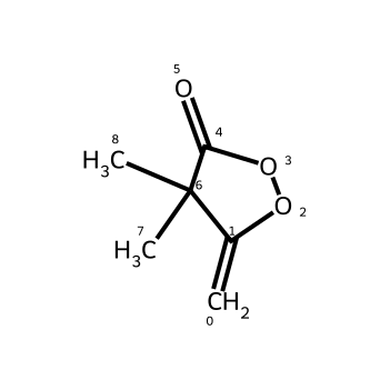 C=C1OOC(=O)C1(C)C